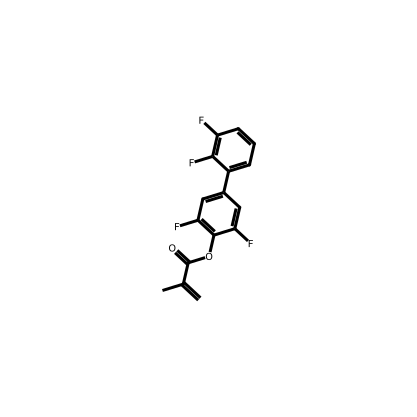 C=C(C)C(=O)Oc1c(F)cc(-c2cccc(F)c2F)cc1F